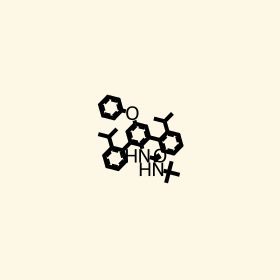 CC(C)c1ccccc1-c1cc(Oc2ccccc2)cc(-c2ccccc2C(C)C)c1NC(=O)NC(C)(C)C